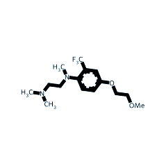 COCCOc1ccc(N(C)CCN(C)C)c(C(F)(F)F)c1